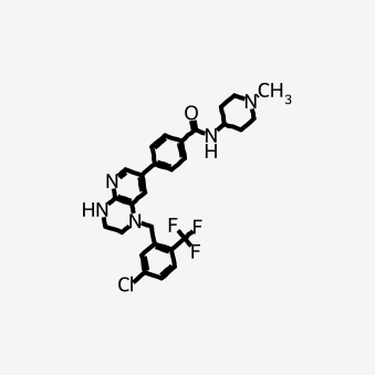 CN1CCC(NC(=O)c2ccc(-c3cnc4c(c3)N(Cc3cc(Cl)ccc3C(F)(F)F)CCN4)cc2)CC1